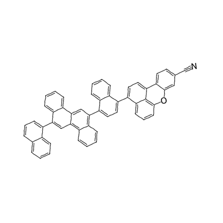 N#Cc1ccc2c(c1)Oc1cccc3c(-c4ccc(-c5cc6c7ccccc7c(-c7cccc8ccccc78)cc6c6ccccc56)c5ccccc45)ccc-2c13